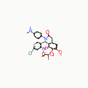 CCC(C)Oc1cc2c(cc1OC)CC(=O)N(c1ccc(N(C)C)cc1)C2c1ccc(Cl)cc1[N+](=O)[O-]